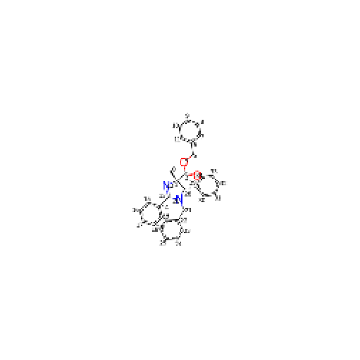 C[C@]1(C(=O)OCc2ccccc2)N=C(c2ccccc2)N(Cc2ccccc2)[C@H]1c1ccccc1